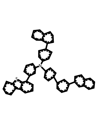 c1cc(-c2ccc(N(c3ccc(-c4cccc5ccccc45)cc3)c3cccc(-c4cccc5c4sc4ccccc45)c3)cc2)cc(-c2ccc3ccccc3c2)c1